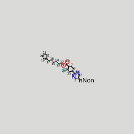 CCCCCCCCCc1cnc(-c2ccc(C(=O)OCCCCCCC3CCCC3)c(F)c2)nc1